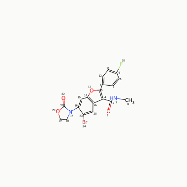 CNC(=O)c1c(-c2ccc(F)cc2)oc2cc(N3CCOC3=O)c(Br)cc12